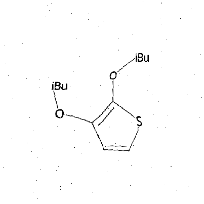 CCC(C)Oc1ccsc1OC(C)CC